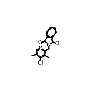 Cc1cnc(CN2C(=O)c3ccccc3C2=O)c(C)c1Cl